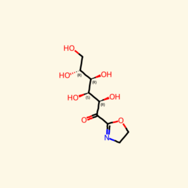 O=C(C1=NCCO1)[C@H](O)[C@@H](O)[C@H](O)[C@H](O)CO